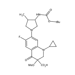 COC1(C(=O)O)CN(C2CC2)c2cc(N3CC(C)C(NC(=O)OC(C)(C)C)C3)c(F)cc2C1=O